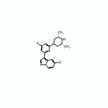 C[C@@H]1CN(c2cc(F)cc(-c3cnn4ccc(Cl)cc34)n2)C[C@H](C)N1